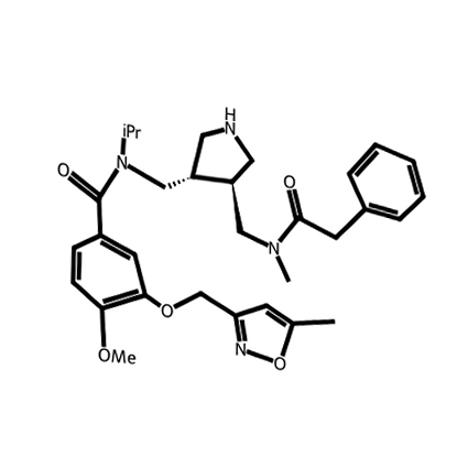 COc1ccc(C(=O)N(C[C@@H]2CNC[C@H]2CN(C)C(=O)Cc2ccccc2)C(C)C)cc1OCc1cc(C)on1